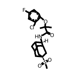 CC(C)(Oc1ccc(F)cc1Cl)C(=O)N[C@H]1C2CC3CC1C[C@@](S(C)(=O)=O)(C3)C2